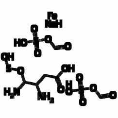 NC(CC(=O)O)C(N)OSO.O=COS(=O)(=O)O.O=COS(=O)(=O)O.[Fe].[NaH]